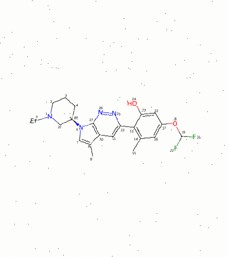 CCN1CCC[C@@H](n2cc(C)c3cc(-c4c(C)cc(OC(F)F)cc4O)nnc32)C1